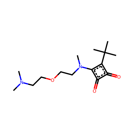 CN(C)CCOCCN(C)c1c(C(C)(C)C)c(=O)c1=O